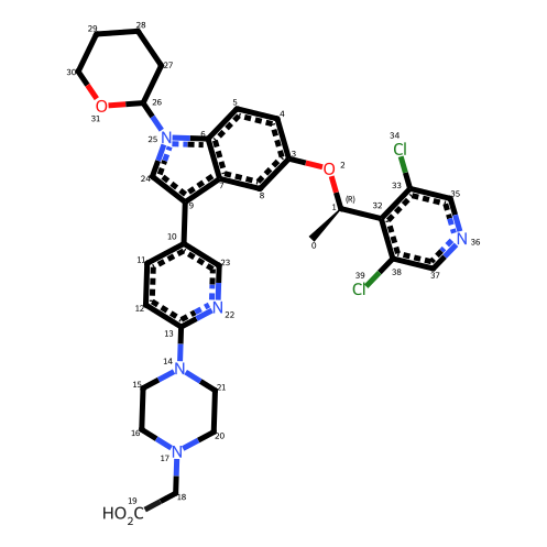 C[C@@H](Oc1ccc2c(c1)c(-c1ccc(N3CCN(CC(=O)O)CC3)nc1)cn2C1CCCCO1)c1c(Cl)cncc1Cl